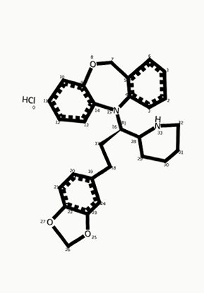 Cl.c1ccc2c(c1)COc1ccccc1N2[C@H](CCc1ccc2c(c1)OCO2)C1CCCCN1